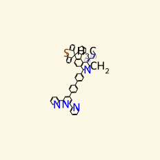 C=c1nc(-c2ccc(-c3ccc(-c4cc(-c5ccccn5)nc(-c5ccccn5)c4)cc3)cc2)c2ccc3c(c2/c1=C/C=C\C)-c1ccccc1C31c2ccccc2Sc2ccccc21